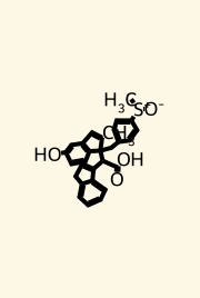 CC1=Cc2cc(O)ccc2C1(Cc1ccc([S+](C)[O-])cc1)C(C(=O)O)C1=CCc2ccccc21